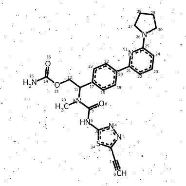 C#Cc1nnc(NC(=O)N(C)C(COC(N)=O)c2ccc(-c3cccc(N4CCCC4)n3)cc2)s1